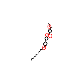 CCCCCCCCCCCCOc1ccc(-c2ccc(OC(=O)c3ccc(C(C)OCC)cc3)cc2)cc1